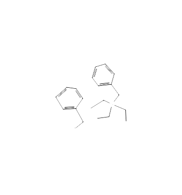 CC[N+](CC)(CC)Cc1ccccc1.ClCc1ccccc1